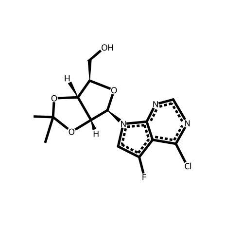 CC1(C)O[C@@H]2[C@H](O1)[C@@H](CO)O[C@H]2n1cc(F)c2c(Cl)ncnc21